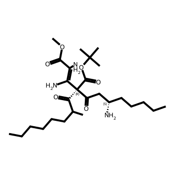 CCCCCCC(C)C(=O)[C@@](C(=O)C[C@@H](N)CCCCC)(C(=O)OC(C)(C)C)C(N)=C(N)C(=O)OC